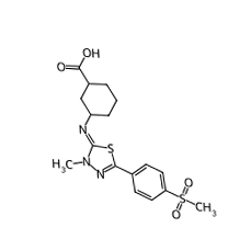 Cn1nc(-c2ccc(S(C)(=O)=O)cc2)sc1=NC1CCCC(C(=O)O)C1